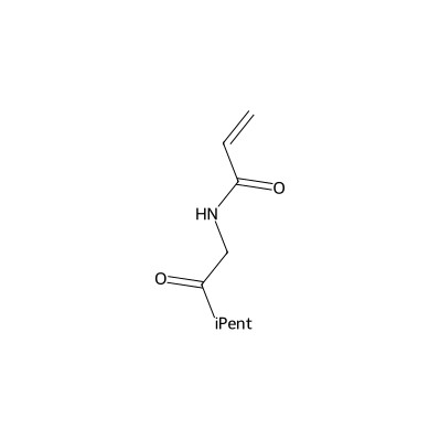 C=CC(=O)NCC(=O)C(C)CCC